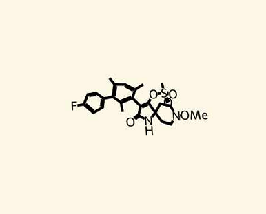 CON1CCC2(CC1)NC(=O)C(c1c(C)cc(C)c(-c3ccc(F)cc3)c1C)=C2OS(C)(=O)=O